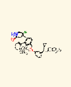 CC1(C)CCCC=C1c1cc(COc2cccc([C@@H](CC(=O)O)C3CC3)c2)ccc1-c1cc(=O)[nH]cc1F